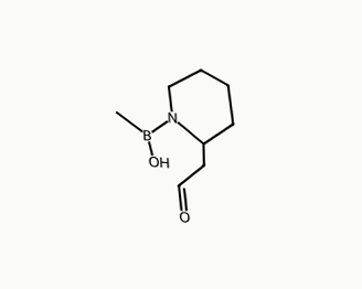 CB(O)N1CCCCC1CC=O